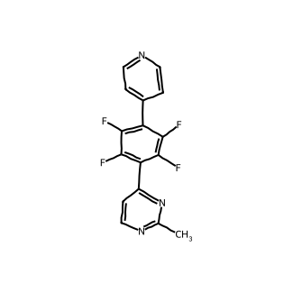 Cc1nccc(-c2c(F)c(F)c(-c3ccncc3)c(F)c2F)n1